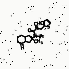 CC(C)N(C(=O)N(C=O)Cc1cccs1)C1(C)CC2CCCNC2C1